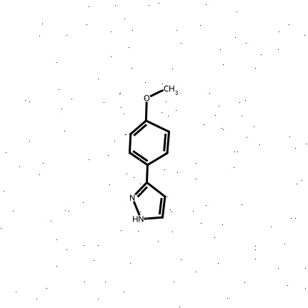 COc1ccc(-c2[c]c[nH]n2)cc1